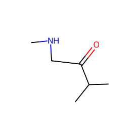 CNCC(=O)C(C)C